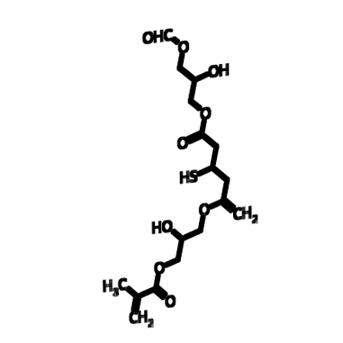 C=C(CC(S)CC(=O)OCC(O)COC=O)OCC(O)COC(=O)C(=C)C